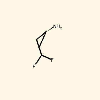 N[C@H]1CC1C(F)F